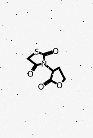 O=C1OCCC1N1C(=O)CSC1=O